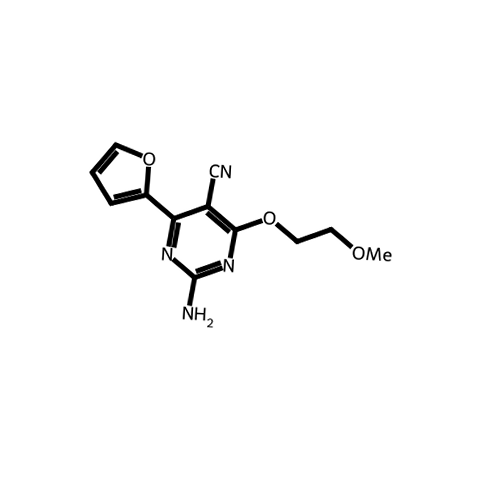 COCCOc1nc(N)nc(-c2ccco2)c1C#N